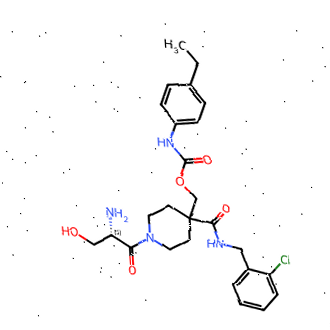 CCc1ccc(NC(=O)OCC2(C(=O)NCc3ccccc3Cl)CCN(C(=O)[C@@H](N)CO)CC2)cc1